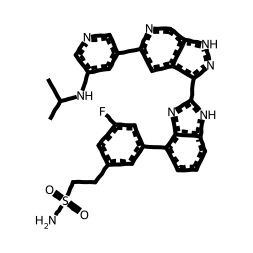 CC(C)Nc1cncc(-c2cc3c(-c4nc5c(-c6cc(F)cc(CCS(N)(=O)=O)c6)cccc5[nH]4)n[nH]c3cn2)c1